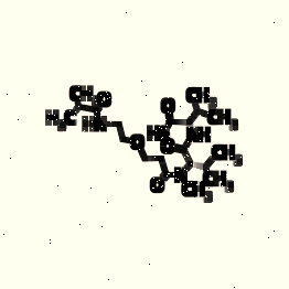 CC(C)C(=O)NCCOCCC(=O)N(C)[C@H](C(=O)N[C@H](C(=O)S)C(C)C)C(C)C